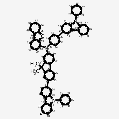 CC1(C)c2cc(-c3ccc4c5ccccc5n(-c5ccccc5)c4c3)ccc2-c2ccc(N(c3ccc(-c4ccc5c(c4)c4ccccc4n5-c4ccccc4)cc3)c3cccc4c3oc3ccccc34)cc21